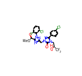 COC(=O)c1nc(Cn2nc(-c3ccc(Cl)cc3)n(C[C@H](O)C(F)(F)F)c2=O)nn1-c1c(F)cccc1Cl